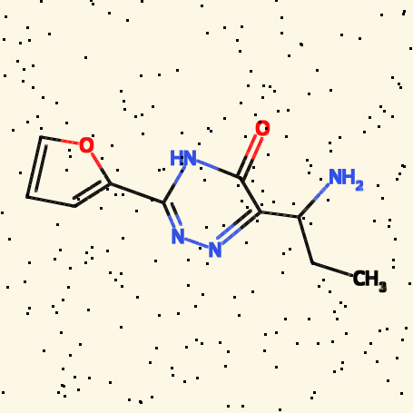 CCC(N)c1nnc(-c2ccco2)[nH]c1=O